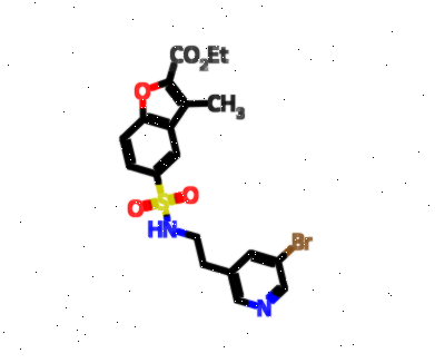 CCOC(=O)c1oc2ccc(S(=O)(=O)NCCc3cncc(Br)c3)cc2c1C